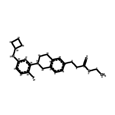 CCOC(=O)CCc1ccc2c(c1)CCN(c1nc(OC3CCC3)ccc1F)C2